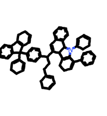 C1=CCCC(CCC(C2=Cc3ccccc3C3C2C2=C(C(c4ccccc4)=CCC2)N3C2=CC=CCC2)c2ccc(C3(C4=CCCC=C4)C4=C(CCC=C4)c4ccccc43)cc2)=C1